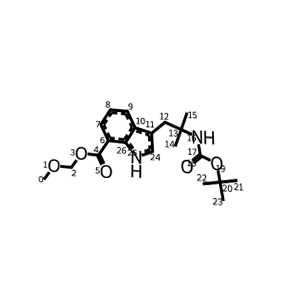 COCOC(=O)c1cccc2c(CC(C)(C)NC(=O)OC(C)(C)C)c[nH]c12